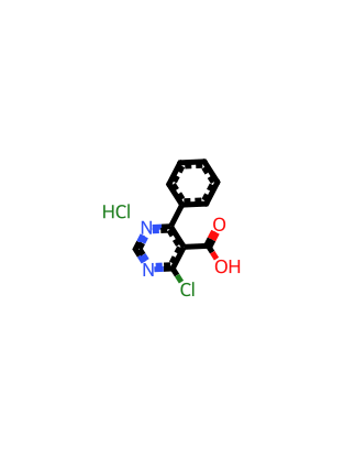 Cl.O=C(O)c1c(Cl)ncnc1-c1ccccc1